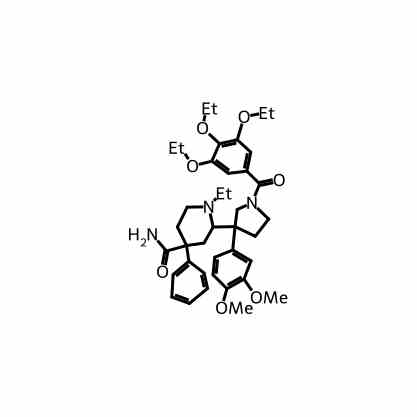 CCOc1cc(C(=O)N2CCC(c3ccc(OC)c(OC)c3)(C3CC(C(N)=O)(c4ccccc4)CCN3CC)C2)cc(OCC)c1OCC